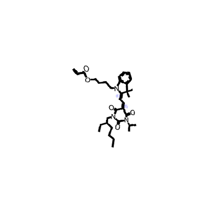 C=CC(=O)OCCCCN1/C(=C/C=C2\C(=O)N(CC(CC)CCCC)C(=O)N(C(C)C)C2=O)C(C)(C)c2ccccc21